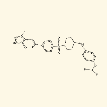 Cc1n[nH]c2ccc(-c3ccc(S(=O)(=O)N4CCC(Nc5ccc(OC(F)F)cc5)CC4)cc3)cc12